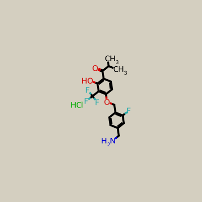 CC(C)C(=O)c1ccc(OCc2ccc(CN)cc2F)c(C(F)(F)F)c1O.Cl